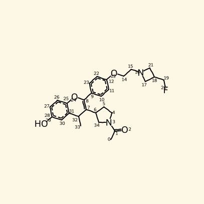 CC(=O)N1CCC(C2=C(c3ccc(OCCN4CC(CF)C4)cc3)Oc3ccc(O)cc3C2C)C1